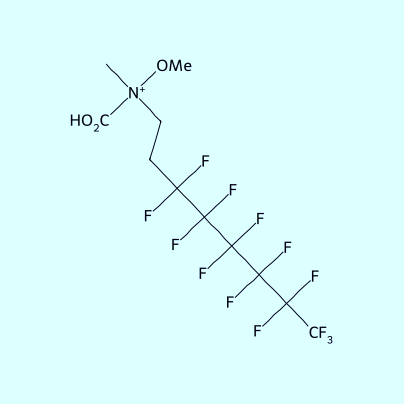 CO[N+](C)(CCC(F)(F)C(F)(F)C(F)(F)C(F)(F)C(F)(F)C(F)(F)F)C(=O)O